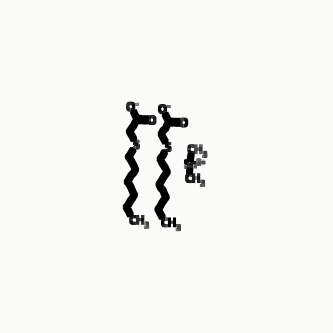 CCCCCCSCC(=O)[O-].CCCCCCSCC(=O)[O-].[CH3][Sn+2][CH3]